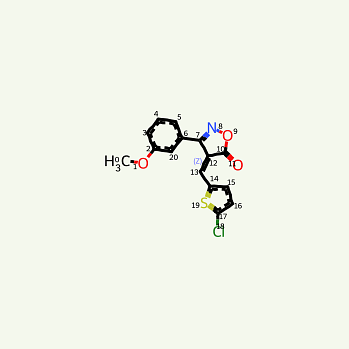 COc1cccc(C2=NOC(=O)/C2=C\c2ccc(Cl)s2)c1